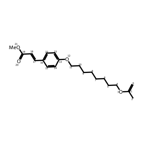 C=C(C)OCCCCCCCCOc1ccc(/C=C/C(=O)OC)cc1